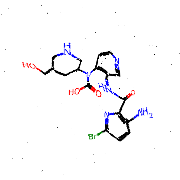 Nc1ccc(Br)nc1C(=O)Nc1cnccc1N(C(=O)O)C1CNCC(CO)C1